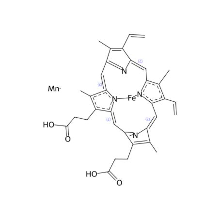 C=CC1=C(C)C2=NC/1=C\c1c(C)c(C=C)c3[n]1[Fe][n]1/c(c(C)c(CCC(=O)O)/c1=C/C1=NC(=C\3)/C(C)=C1CCC(=O)O)=C\2.[Mn]